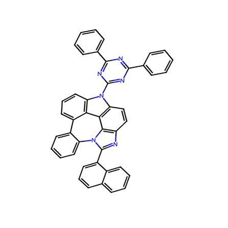 c1ccc(-c2nc(-c3ccccc3)nc(-n3c4cccc5c6ccccc6n6c(-c7cccc8ccccc78)nc7ccc3c(c54)c76)n2)cc1